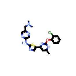 Cc1cc(-c2cnc(Nc3cnc(CN(C)C)cn3)s2)nc(Oc2ccccc2Cl)n1